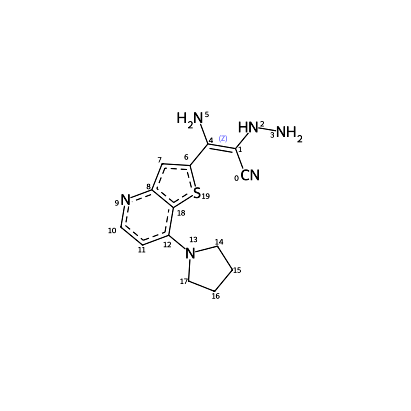 N#C/C(NN)=C(/N)c1cc2nccc(N3CCCC3)c2s1